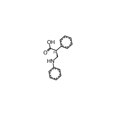 O=C(O)[C@H](CNc1ccccc1)c1ccccc1